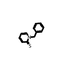 S=c1ccccn1Cc1ccccc1